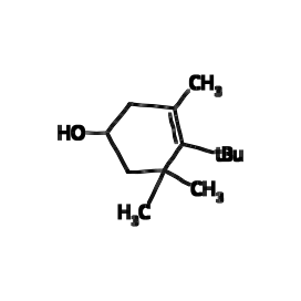 CC1=C(C(C)(C)C)C(C)(C)CC(O)C1